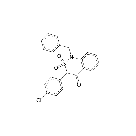 O=C1c2ccccc2N(Cc2ccccc2)S(=O)(=O)C1c1ccc(Cl)cc1